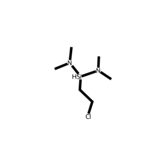 CN(C)[SiH](CCCl)N(C)C